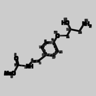 COC(=O)NC=Cc1ccc(OCC(O)CN)cc1